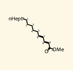 CCCCCCCCCCCCC=CC=CC(=O)OC